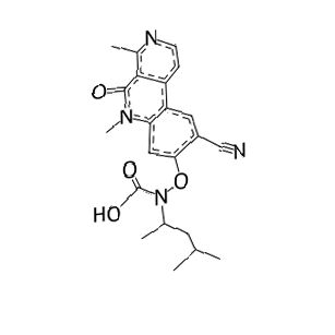 Cc1nccc2c1c(=O)n(C)c1cc(ON(C(=O)O)C(C)CC(C)C)c(C#N)cc21